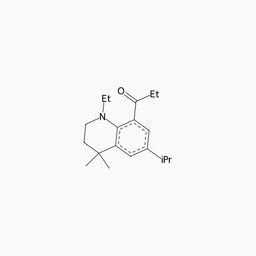 CCC(=O)c1cc(C(C)C)cc2c1N(CC)CCC2(C)C